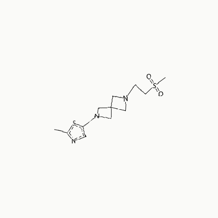 Cc1ncc(N2CC3(CN(CCS(C)(=O)=O)C3)C2)s1